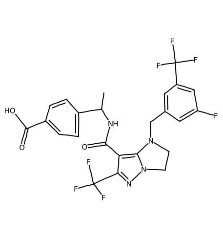 CC(NC(=O)c1c(C(F)(F)F)nn2c1N(Cc1cc(F)cc(C(F)(F)F)c1)CC2)c1ccc(C(=O)O)cc1